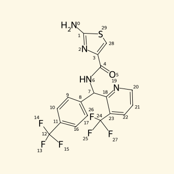 Nc1nc(C(=O)NC(c2ccc(C(F)(F)F)cc2)c2ncccc2C(F)(F)F)cs1